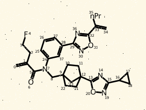 C=C(CCF)C(=O)N(CC12CCC(c3nc(C4CC4)no3)(CC1)C2)c1cccc(-c2noc(C(=C)CCC)n2)c1